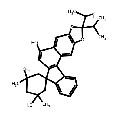 CC(C)C1(C(C)C)Oc2cc3c4c(cc(O)c3cc2S1)C1(CC(C)(C)CC(C)(C)C1)c1ccccc1-4